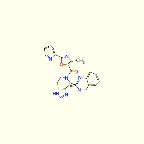 Cc1nc(-c2ccccn2)oc1C(=O)N1CCc2[nH]cnc2[C@@H]1c1ncc2ccccc2n1